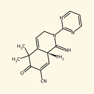 CC1(C)C(=O)C(C#N)=C[C@@]2(P)C(=N)N(c3ncccn3)CC=C12